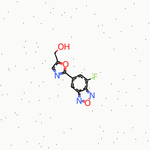 OCc1cnc(-c2cc(F)c3nonc3c2)o1